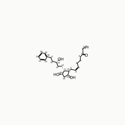 CC(C)CC(=O)CCC/C=C\C[C@@H]1[C@@H](CC[C@@H](O)CCc2ccccc2)[C@H](O)C[C@@H]1O